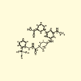 CNc1nc(NC2CCC(C(=O)NCc3cnccc3C(F)(F)F)CC2)nc(-c2cccc(C(=O)O)c2)n1